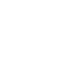 CC1=CC(CCC=O)=CC(CC(C)C)C1